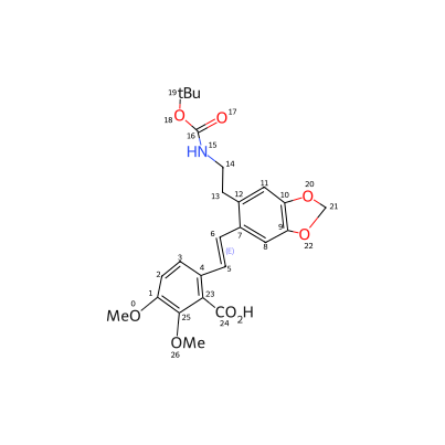 COc1ccc(/C=C/c2cc3c(cc2CCNC(=O)OC(C)(C)C)OCO3)c(C(=O)O)c1OC